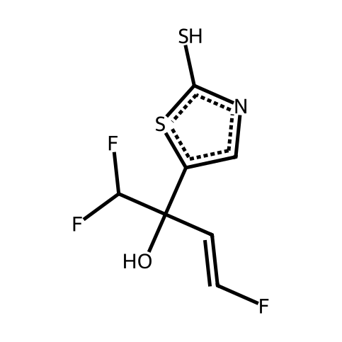 OC(C=CF)(c1cnc(S)s1)C(F)F